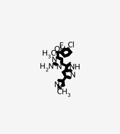 Cn1cc(-c2cnc3[nH]cc(-c4cc([C@](C)(O)c5cccc(Cl)c5F)nc(N)n4)c3c2)cn1